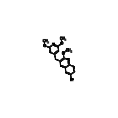 COc1cc(Cc2cc3cc(Br)ccc3nc2OC)cc(OC)n1